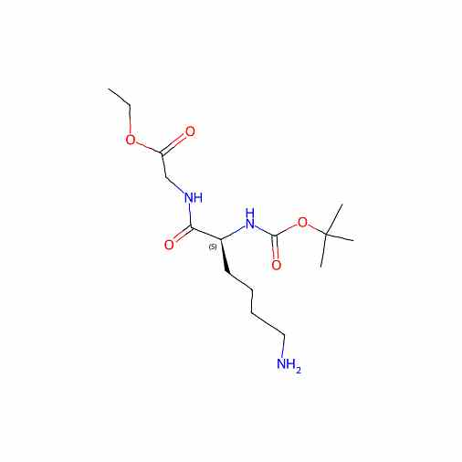 CCOC(=O)CNC(=O)[C@H](CCCCN)NC(=O)OC(C)(C)C